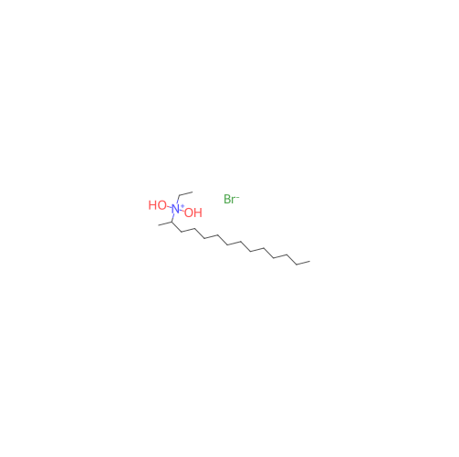 CCCCCCCCCCCCC(C)[N+](O)(O)CC.[Br-]